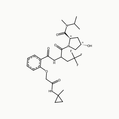 CC(C)N(C)C(=O)[C@H]1C[C@H](O)CN1C(=O)C(CC(F)(F)F)NC(=O)c1ccccc1OCC(=O)NC1(C)CC1